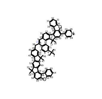 CC(C)(C)c1ccc(/C(=C\c2ccc3c(c2)C(C)(C)c2cc(-c4ccncc4)c4oc5ccccc5c4c2-3)Cc2ccc3c(c2)C(C)(C)c2cc4c(cc2-3)C(C)(C)c2ccc3oc5ccccc5c3c2-4)cc1